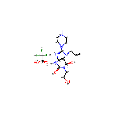 C=CCn1c(N2CCNCC2)nc2c1c(=O)n(CCO)c(=O)n2C.O=C(O)C(F)(F)F